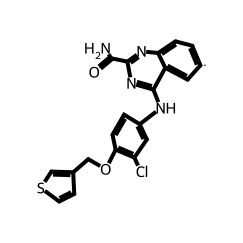 NC(=O)c1nc(Nc2ccc(OCc3ccsc3)c(Cl)c2)c2c[c]ccc2n1